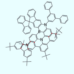 CC(C)(C)c1ccc(-c2cc(C(C)(C)C)cc(-c3ccc(C(C)(C)C)cc3)c2N2c3cc(-n4c5ccc(C(C)(C)C)cc5c5cc(C(C)(C)C)ccc54)ccc3B3c4cc5c(cc4N(c4cc(-c6ccccc6)cc(-c6ccccc6)c4)c4cc(C(C)(C)C)cc2c43)-c2ccccc2C52c3ccccc3-c3ccccc32)cc1